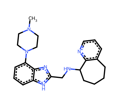 CN1CCN(c2cccc3[nH]c(CNC4CCCCc5cccnc54)nc23)CC1